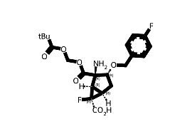 CC(C)(C)C(=O)OCOC(=O)[C@@]1(N)[C@H]2[C@@H](C[C@H]1OCc1ccc(F)cc1)[C@]2(F)C(=O)O